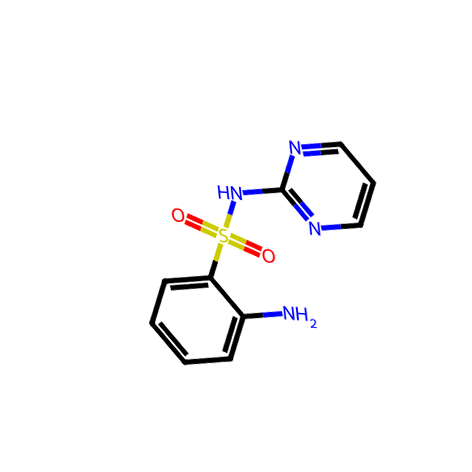 Nc1ccccc1S(=O)(=O)Nc1ncccn1